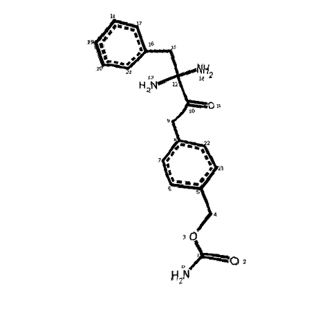 NC(=O)OCc1ccc(CC(=O)C(N)(N)Cc2ccccc2)cc1